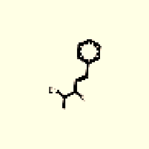 CC(Br)C(Cl)C=Cc1ccccc1